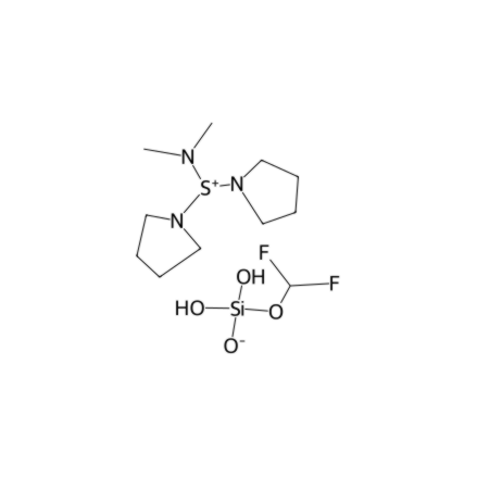 CN(C)[S+](N1CCCC1)N1CCCC1.[O-][Si](O)(O)OC(F)F